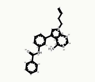 C=CCCn1cc(-c2cccc(NC(=O)c3ccccc3)c2)c2c(N)ncnc21